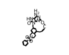 Nc1nc2nc3c1[nH]c(=O)n3Cc1cc(c3c(c1)CN(S(=O)(=O)c1ccccc1)CC3)CC=CCCO2